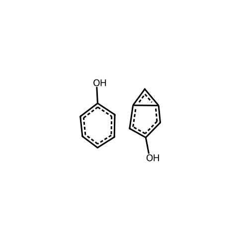 Oc1cc2cc-2c1.Oc1ccccc1